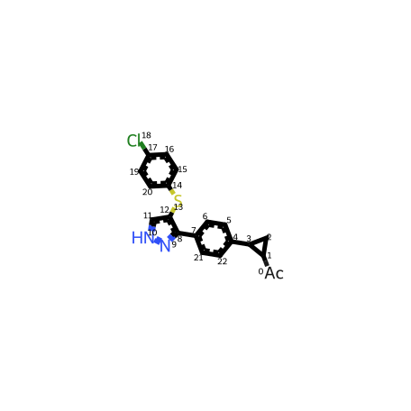 CC(=O)C1CC1c1ccc(-c2n[nH]cc2Sc2ccc(Cl)cc2)cc1